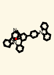 N#Cc1cc(-c2ccc(-n3c4ccccc4c4ccccc43)cc2)cc(-c2ccccc2-n2c3ccccc3c3ccccc32)c1C#N